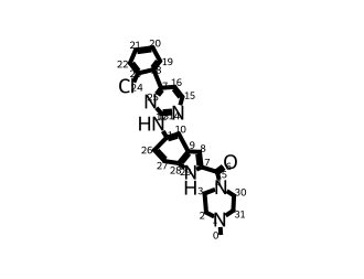 CN1CCN(C(=O)c2cc3cc(Nc4nccc(-c5ccccc5Cl)n4)ccc3[nH]2)CC1